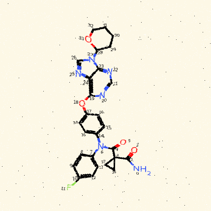 NC(=O)C1(C(=O)N(c2ccc(F)cc2)c2ccc(Oc3ncnc4c3ncn4C3CCCCO3)cc2)CC1